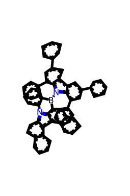 c1ccc(-c2cc(-c3ccccc3)c3c(c2)c2cc(-c4ccccc4)cc(-c4ccccc4)c2n3B2c3ccccc3-n3c4ccc5ccccc5c4c4c5ccccc5cc2c43)cc1